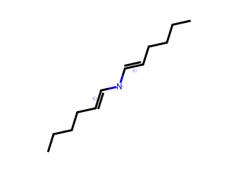 CCCC/C=C/[N]/C=C/CCCC